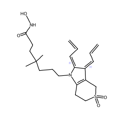 C=C/C=c1/c2c(n(CCCC(C)(C)CCC(=O)NO)/c1=C/C=C)CCS(=O)(=O)C2